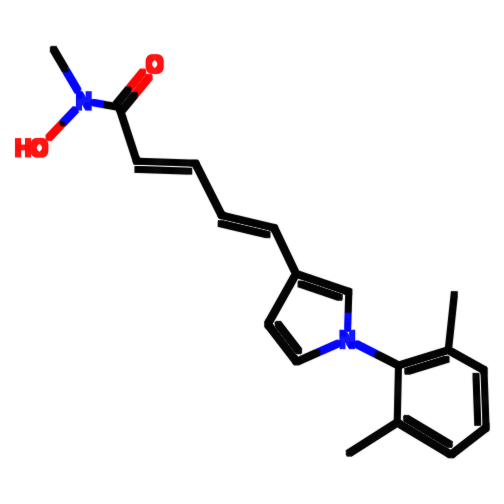 Cc1cccc(C)c1-n1ccc(/C=C/C=C/C(=O)N(C)O)c1